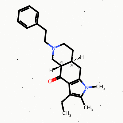 CCc1c2c(n(C)c1C)C[C@@H]1CCN(CCc3ccccc3)C[C@H]1C2=O